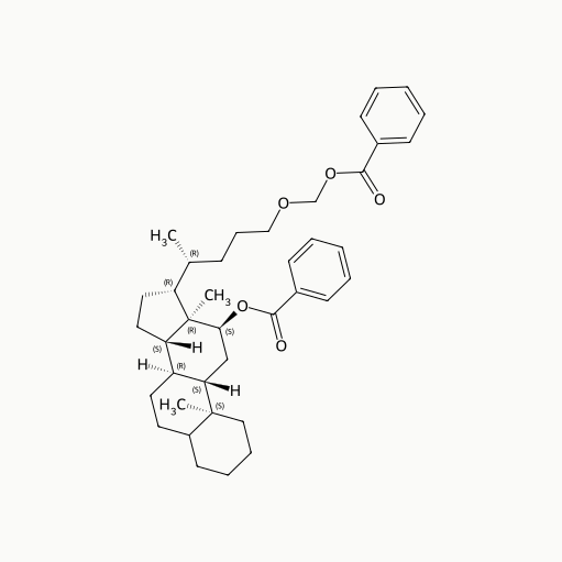 C[C@H](CCCOCOC(=O)c1ccccc1)[C@H]1CC[C@H]2[C@@H]3CCC4CCCC[C@]4(C)[C@H]3C[C@H](OC(=O)c3ccccc3)[C@]12C